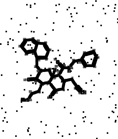 C#CCN1CC(=O)N2[C@@H](CCSC)C(=O)N(Cc3cccc4ccccc34)C[C@@H]2N1C(=O)NCc1ccccc1